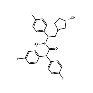 CN(C(=O)C(c1ccc(F)cc1)c1ccc(F)cc1)[C@H](CN1CC[C@H](O)C1)c1ccc(F)cc1